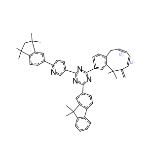 C=C1/C=C\C=C/Cc2ccc(-c3nc(-c4ccc(-c5ccc6c(c5)C(C)(C)CC6(C)C)nc4)nc(-c4ccc5c(c4)C(C)(C)c4ccccc4-5)n3)cc2C1(C)C